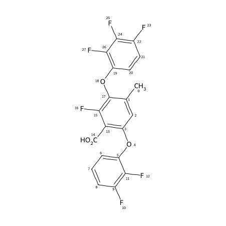 Cc1cc(Oc2cccc(F)c2F)c(C(=O)O)c(F)c1Oc1ccc(F)c(F)c1F